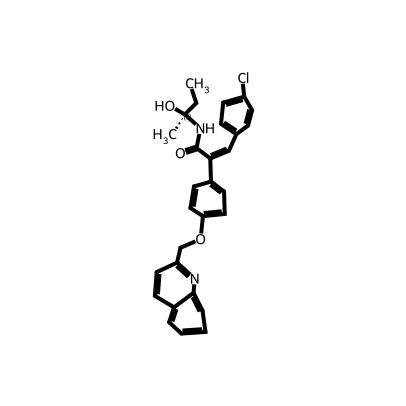 CC[C@](C)(O)NC(=O)C(=Cc1ccc(Cl)cc1)c1ccc(OCc2ccc3ccccc3n2)cc1